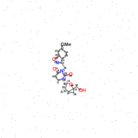 COc1ccc2c(Cn3c(=O)ccn([C@@H]4OC5(CO)CC5[C@@H]4C)c3=O)noc2c1